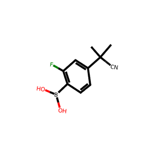 CC(C)(C#N)c1ccc(B(O)O)c(F)c1